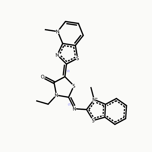 CCN1C(=O)/C(=c2\nc3c(s2)=CC=CN3C)S/C1=N\c1sc2ccccc2[n+]1C